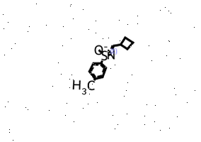 Cc1ccc([S+]([O-])/N=C/C2CCC2)cc1